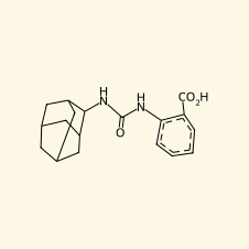 O=C(Nc1ccccc1C(=O)O)NC1C2CC3CC(C2)CC1C3